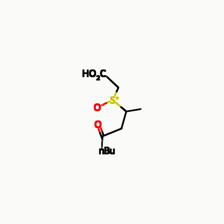 CCCCC(=O)CC(C)[S+]([O-])CC(=O)O